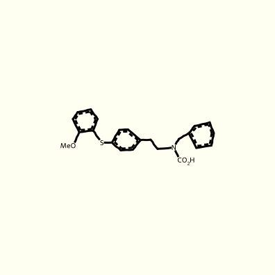 COc1ccccc1Sc1ccc(CCN(Cc2ccccc2)C(=O)O)cc1